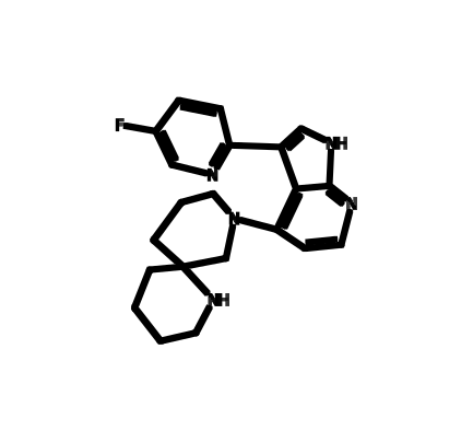 Fc1ccc(-c2c[nH]c3nccc(N4CCCC5(CCCCN5)C4)c23)nc1